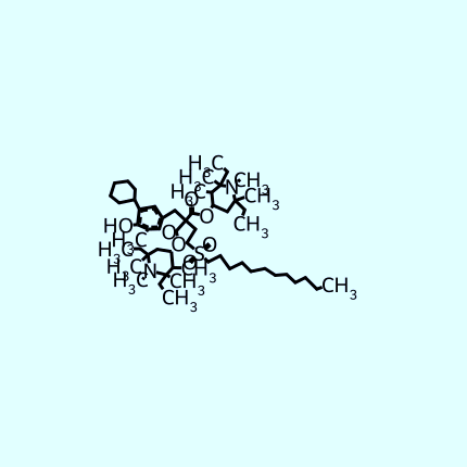 CCCCCCCCCCCCS(=O)(=O)CCC(Cc1cc(C)c(O)c(C2CCCCC2)c1)(C(=O)OC1CC(C)(CC)N(C)C(C)(CC)C1C)C(=O)OC1CC(C)(CC)N(C)C(C)(CC)C1C